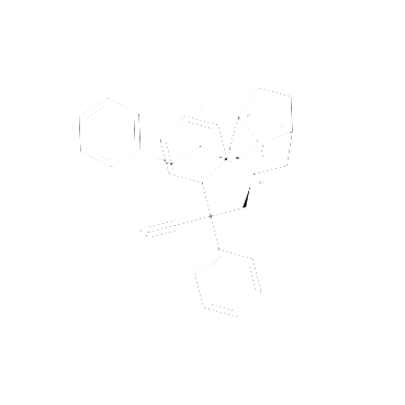 C[N+]1(CCCc2ccccc2)[C@@H]2CC[C@H]1C[C@@H](CC(C#N)(c1ccccc1)c1ccccc1)C2